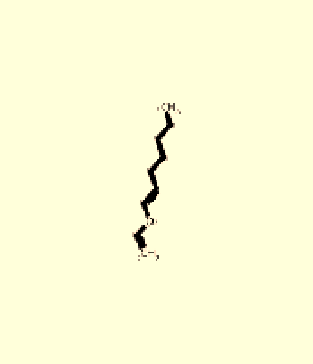 C=COC=CCCCCC